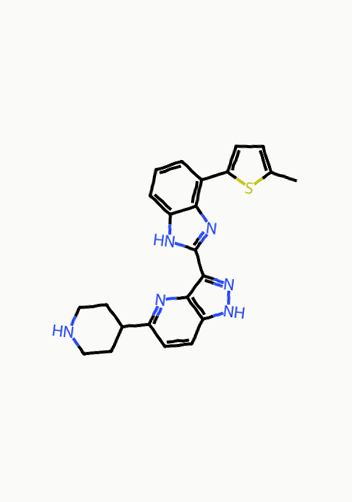 Cc1ccc(-c2cccc3[nH]c(-c4n[nH]c5ccc(C6CCNCC6)nc45)nc23)s1